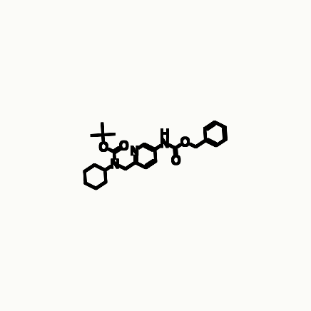 CC(C)(C)OC(=O)N(Cc1ccc(NC(=O)OCc2ccccc2)cn1)C1CCCCC1